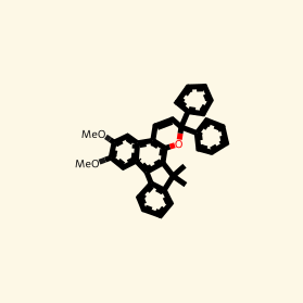 COc1cc2c3c(c4c(c2cc1OC)-c1ccccc1C4(C)C)OC(c1ccccc1)(c1ccccc1)C=C3